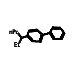 CCCC(CC)c1ccc(-c2ccccc2)cc1